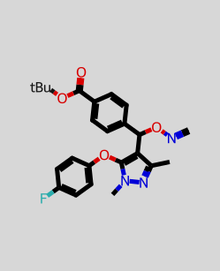 C=NOC(c1ccc(C(=O)OC(C)(C)C)cc1)c1c(C)nn(C)c1Oc1ccc(F)cc1